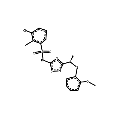 COc1ccccc1S[C@H](C)c1nsc(NS(=O)(=O)c2cccc(Cl)c2C)n1